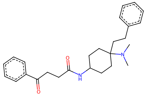 CN(C)C1(CCc2ccccc2)CCC(NC(=O)CCC(=O)c2ccccc2)CC1